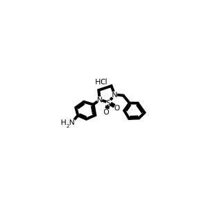 Cl.Nc1ccc(N2CCN(Cc3ccccc3)S2(=O)=O)cc1